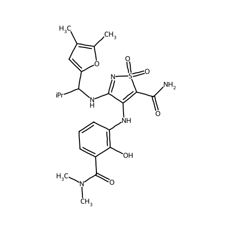 Cc1cc(C(NC2=NS(=O)(=O)C(C(N)=O)=C2Nc2cccc(C(=O)N(C)C)c2O)C(C)C)oc1C